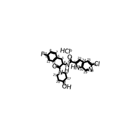 Cl.O=C(NC(Cc1ccc(F)cc1)C(=O)N1CCC(O)CC1)c1cc2cc(Cl)ncc2[nH]1